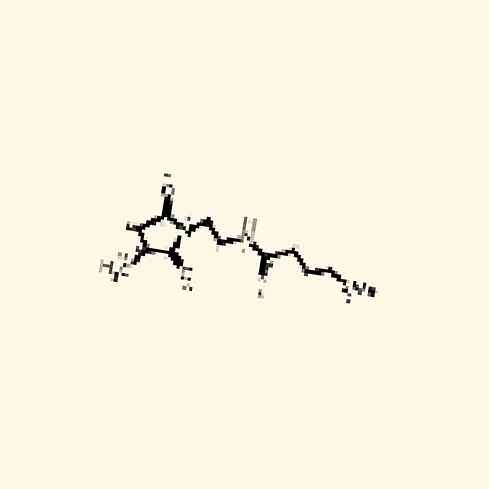 CSCCCC(=O)NCCN1C(=O)CC(C)C1=O